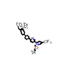 CCOC(=O)Cc1ccc(C2CCC(c3ccc(-c4cc(C(F)(F)F)cn4COCC[Si](C)(C)C)cn3)CC2)cc1